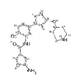 Nc1nc(C(=O)Nc2cc(-c3cnc(OC4CCNCC4)s3)ccc2Cl)co1